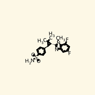 Cn1c([C@@H]2[C@@H](c3ccc(S(N)(=O)=O)cc3)C2(C)C)nc2cc(F)cc(F)c21